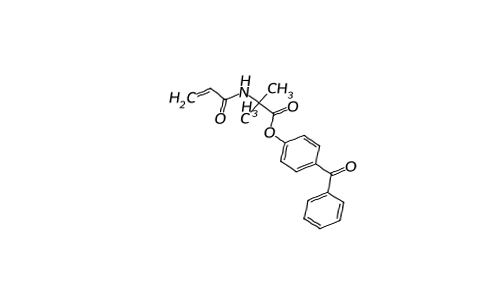 C=CC(=O)NC(C)(C)C(=O)Oc1ccc(C(=O)c2ccccc2)cc1